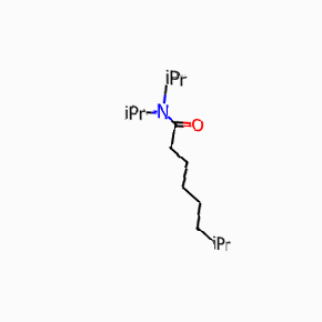 CC(C)CCCCCC(=O)N(C(C)C)C(C)C